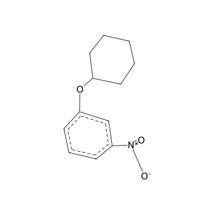 O=[N+]([O-])c1cccc(OC2CCCCC2)c1